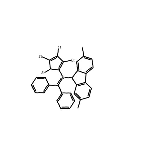 CCC1=C(CC)C(CC)[C]([Zr](=[C](c2ccccc2)c2ccccc2)[CH]2c3cc(C)ccc3-c3ccc(C)cc32)=C1CC